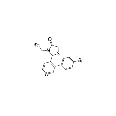 CC(C)CN1C(=O)CSC1c1ccncc1-c1ccc(Br)cc1